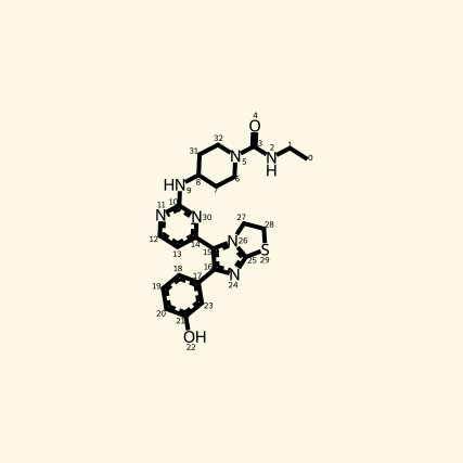 CCNC(=O)N1CCC(Nc2nccc(-c3c(-c4cccc(O)c4)nc4n3CCS4)n2)CC1